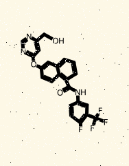 O=C(Nc1ccc(F)c(C(F)(F)F)c1)c1cccc2cc(Oc3cc(CO)ncn3)ccc12